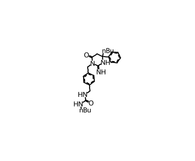 CCCCNC(=O)NCc1ccc(CN2C(=N)NC(CCCC)(c3ccccc3)CC2=O)cc1